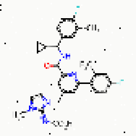 Cc1cc(C(NC(=O)c2cc(Cn3ccn(C)/c3=N/C(=O)O)cc(-c3ccc(F)cc3C(F)(F)F)n2)C2CC2)ccc1F